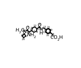 CN(C(=O)[C@@H](N)C1CCC(C(=O)NCc2ccc(CC(=O)O)cc2)CC1)C1CCC1